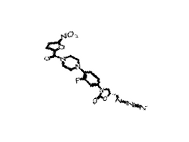 [N-]=[N+]=NC[C@H]1CN(c2ccc(N3CCN(C(=O)c4ccc([N+](=O)[O-])o4)CC3)c(F)c2)C(=O)O1